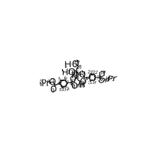 CC(C)OC(=O)c1ccc(C2OC[C@@H]3OC(c4ccc(C(=O)OC(C)C)cc4)O[C@H]([C@H](O)CO)[C@@H]3O2)cc1